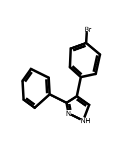 Brc1ccc(-c2c[nH]nc2-c2ccccc2)cc1